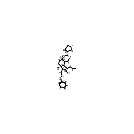 CCCCC1[C@]2(C)CO[C@@H](C3CCCC3)O[C@@H]2CC[C@@]1(C)[C@@H](CC)CCOc1ccccn1